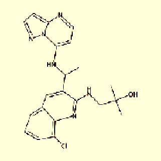 CC(Nc1ccnc2ccnn12)c1cc2cccc(Cl)c2nc1NCC(C)(C)O